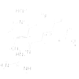 Cc1ccnc2c1/C(=N\NC(=N)N)CC(c1cc(Cl)ccc1F)C2.Cl